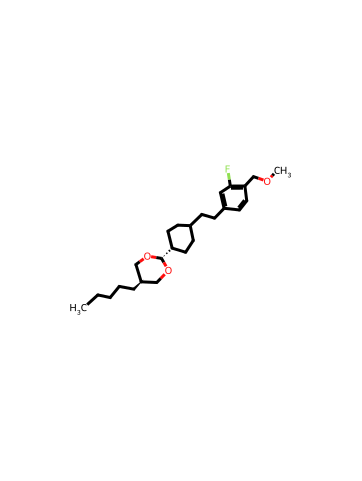 CCCCC[C@H]1CO[C@H](C2CCC(CCc3ccc(COC)c(F)c3)CC2)OC1